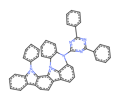 c1ccc(-c2nc(-c3ccccc3)nc(N3c4ccccc4-n4c5c3cccc5c3ccc5c6ccccc6n(-c6ccccc6)c5c34)n2)cc1